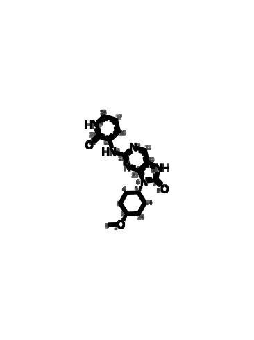 CO[C@H]1CC[C@H](n2c(=O)[nH]c3cnc(Nc4ccc[nH]c4=O)nc32)CC1